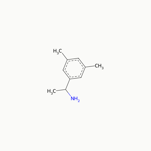 Cc1cc(C)cc(C(C)N)c1